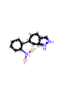 O=[N+]([O-])c1ccccc1-c1ccc2cn[nH]c2c1